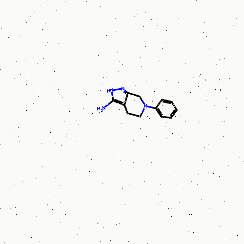 Nc1[nH]nc2c1CCN(c1ccccc1)C2